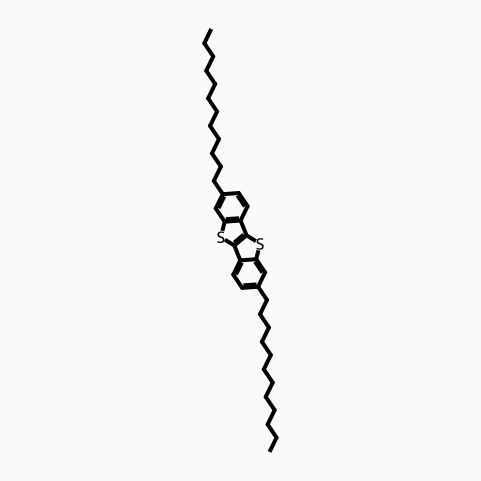 CCCCCCCCCCCCc1ccc2c(c1)sc1c3ccc(CCCCCCCCCCCC)cc3sc21